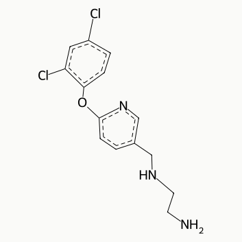 NCCNCc1ccc(Oc2ccc(Cl)cc2Cl)nc1